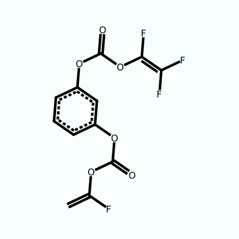 C=C(F)OC(=O)Oc1cccc(OC(=O)OC(F)=C(F)F)c1